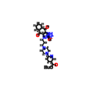 CC(C)COC(=O)c1ccc(N2CCN(CCCN3C4=C(N[NH+]3[O-])C(=O)c3ccccc3C4=O)CC2)nc1